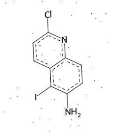 Nc1ccc2nc(Cl)ccc2c1I